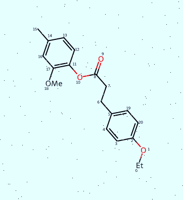 CCOc1ccc(CCC(=O)Oc2ccc(C)cc2OC)cc1